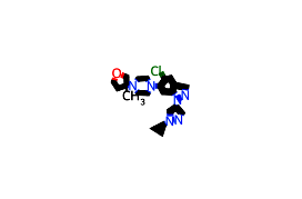 C[C@@]1(N2CCN(c3cc4c(cnn4-c4cnn(C5CC5)c4)cc3Cl)CC2)CCOC1